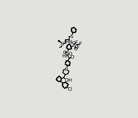 C#CN(CC)CCC(CSc1ccccc1)Nc1ccc(S(=O)(=O)NC(=O)c2ccc(N3CCC(C(O)c4ccccc4-c4ccc(Cl)cc4)CC3)cc2)cc1S(=O)(=O)C(F)(F)F